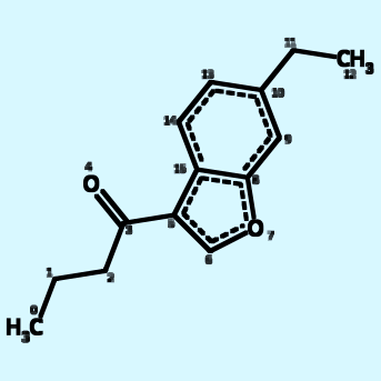 CCCC(=O)c1coc2cc(CC)ccc12